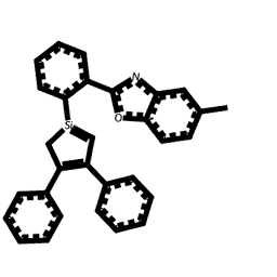 Cc1ccc2oc(-c3ccccc3[Si]3=CC(c4ccccc4)=C(c4ccccc4)C3)nc2c1